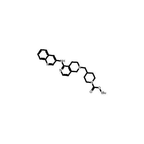 CC(C)(C)OC(=O)N1CCC(CN2CCc3c(ccnc3Nc3cnc4ccccc4c3)C2)CC1